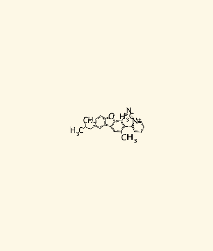 Cc1cc2c(oc3ccc(CC(C)C)cc32)c(C#N)c1-c1cccc[n+]1C